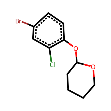 Clc1cc(Br)ccc1OC1CCCCO1